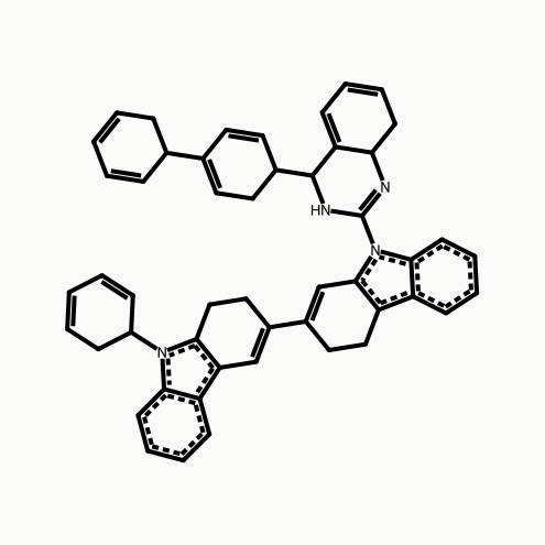 C1=CCC(C2=CCC(C3NC(n4c5c(c6ccccc64)CCC(C4=Cc6c(n(C7C=CC=CC7)c7ccccc67)CC4)=C5)=NC4CC=CC=C43)C=C2)C=C1